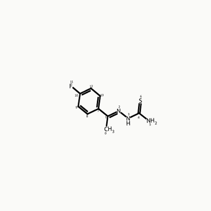 CC(=NNC(N)=S)c1ccc(F)cc1